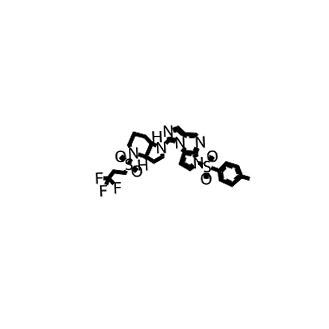 Cc1ccc(S(=O)(=O)n2ccc3c2ncc2cnc(N4CC[C@H]5[C@H]4CCCN5S(=O)(=O)CCC(F)(F)F)n23)cc1